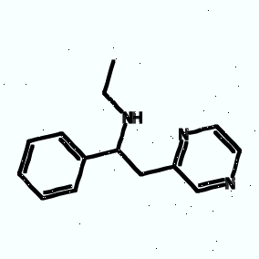 CCNC(Cc1cnccn1)c1ccccc1